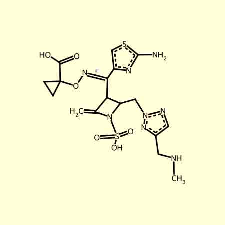 C=C1C(/C(=N\OC2(C(=O)O)CC2)c2csc(N)n2)C(Cn2ncc(CNC)n2)N1S(=O)(=O)O